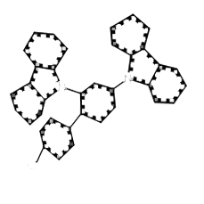 Clc1ccc(-c2ccc(-n3c4ccccc4c4ccccc43)cc2-n2c3ccccc3c3ccccc32)cc1